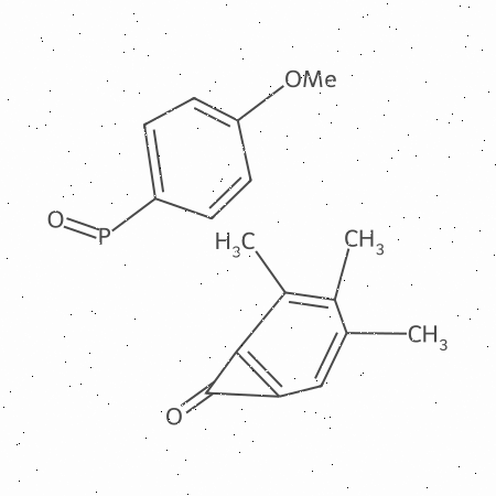 COc1ccc(P=O)cc1.Cc1cc2c(=O)c2c(C)c1C